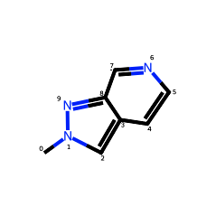 Cn1cc2ccn[c]c2n1